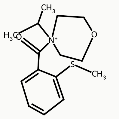 CSc1ccccc1C(=O)[N+]1(C(C)C)CCOCC1